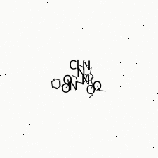 CCOC(OCC)c1cc2cnc(Cl)nc2n1CC(CC)N(C)C(=O)Oc1ccccc1